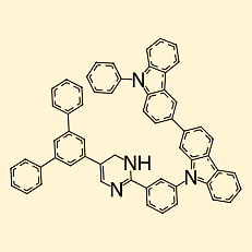 C1=C(c2cc(-c3ccccc3)cc(-c3ccccc3)c2)CNC(c2cccc(-n3c4ccccc4c4ccc(-c5ccc6c(c5)c5ccccc5n6-c5ccccc5)cc43)c2)=N1